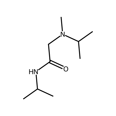 CC(C)NC(=O)CN(C)C(C)C